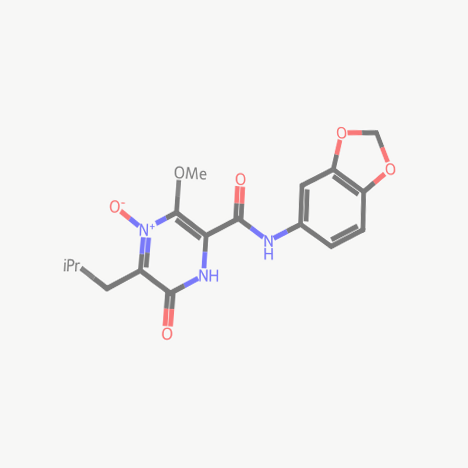 COc1c(C(=O)Nc2ccc3c(c2)OCO3)[nH]c(=O)c(CC(C)C)[n+]1[O-]